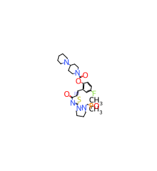 CP(C)(=O)CN1CCCCN1C1=NC(=O)/C(=C/c2cc(F)ccc2OC(=O)N2CCC(N3CCCCC3)CC2)S1